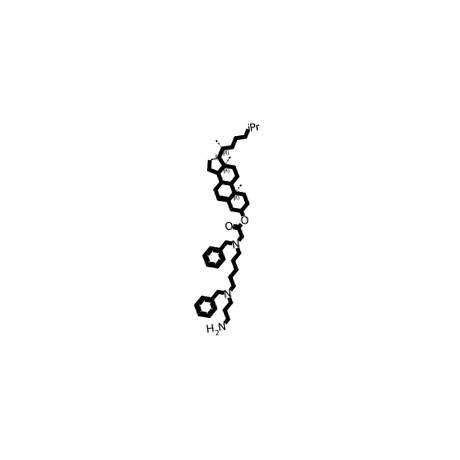 CC(C)CCC[C@@H](C)[C@H]1CCC2C3CC=C4CC(OC(=O)CN(CCCCCN(CCCN)Cc5ccccc5)Cc5ccccc5)CC[C@]4(C)C3CC[C@@]21C